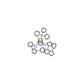 c1ccc(-c2cccc3cccc(-c4ccccc4N(c4cccc(-c5cccc6c7ccccc7n(-c7ccccc7)c56)c4)c4ccc5c(c4)C(c4ccccc4)(c4ccccc4)c4ccccc4-5)c23)cc1